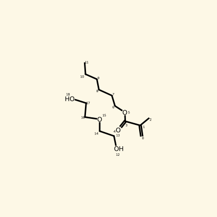 C=C(C)C(=O)OCCCCCC.OCCOCCO